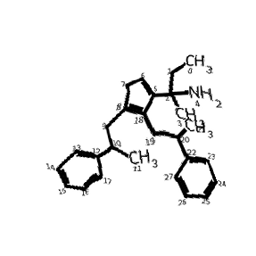 CCC(C)(N)C1=CCC(CC(C)c2ccccc2)=C1CC(C)c1ccccc1